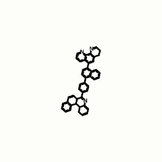 C1=CCC2C(=C1)N=C(c1ccc(-c3ccc(-c4cc5c(c6ncccc46)N=CCC5)c4ccccc34)cc1)C1C=Cc3ccccc3C12